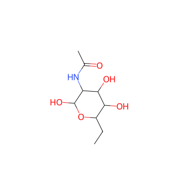 CCC1OC(O)C(NC(C)=O)C(O)C1O